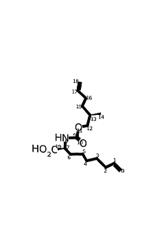 C=CCCCCC[C@H](NC(=O)OC[C@H](C)CCC=C)C(=O)O